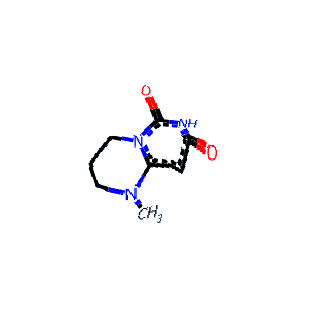 CN1CCCn2c1cc(=O)[nH]c2=O